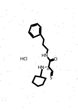 Cl.O=C(NCCCc1ccccc1)[C@H](C=S)NC1CCCCC1